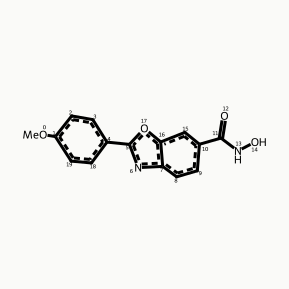 COc1ccc(-c2nc3ccc(C(=O)NO)cc3o2)cc1